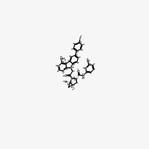 C[C@@]12C[C@@H](C(=O)Nc3cccc(Br)n3)N(C(=O)Cn3c4ccc(-c5ccc(F)cc5)cc4c4c(N)ncnc43)[C@@H]1C2